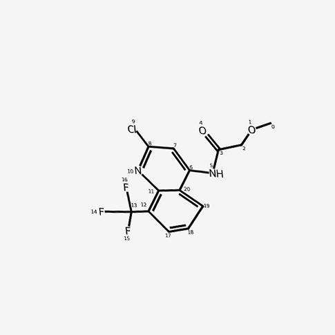 COCC(=O)Nc1cc(Cl)nc2c(C(F)(F)F)cccc12